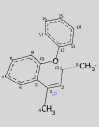 [CH2]C/C=C(/C)c1ccccc1Oc1ccccc1